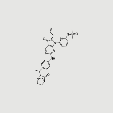 C=CCn1c(=O)c2cnc(Nc3ccc(C(C)C4C(=O)C5CCN4C5)cc3)nc2n1-c1cccc(N=S(C)(C)=O)n1